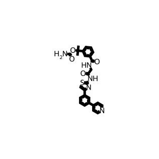 CC(C)(OC(N)=O)c1cccc(C(=O)NCC(=O)Nc2nc(-c3cccc(-c4ccncc4)c3)cs2)c1